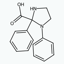 O=C(O)C1(c2ccccc2)NCCN1c1ccccc1